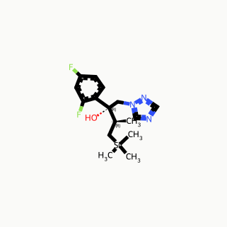 C[C@@H](C[Si](C)(C)C)[C@](O)(Cn1cncn1)c1ccc(F)cc1F